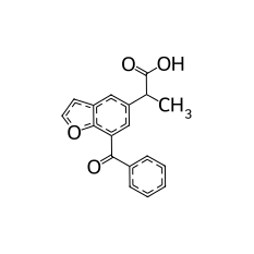 CC(C(=O)O)c1cc(C(=O)c2ccccc2)c2occc2c1